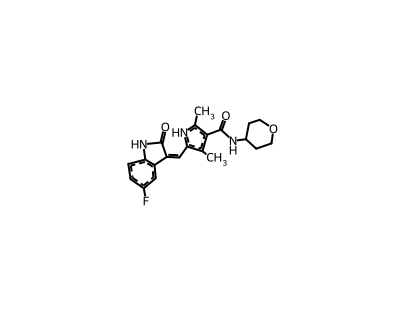 Cc1[nH]c(/C=C2\C(=O)Nc3ccc(F)cc32)c(C)c1C(=O)NC1CCOCC1